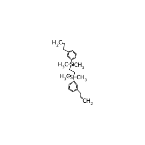 C=CCc1cccc([Si](C)(C)CC[Si](C)(C)c2cccc(CC=C)c2)c1